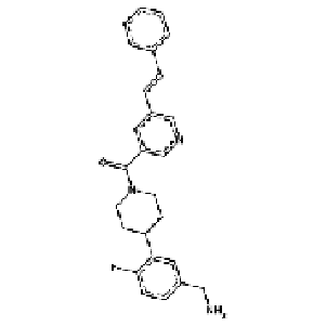 NCc1ccc(F)c(C2CCN(C(=O)c3cncc(C=Cc4ccccc4)c3)CC2)c1